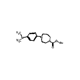 CN(C)c1ccc(N2CCCN(C(=O)OC(C)(C)C)CC2)cc1